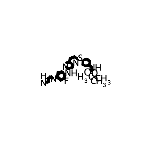 CC(C)(C)OC(=O)NC1CCC(Sc2ccc3cnc(Nc4ccc(N/C=C\C=N)cc4F)cc3n2)CC1